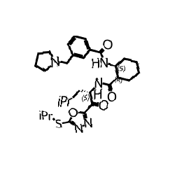 CC(C)C[C@H](NC(=O)[C@@H]1CCCC[C@@H]1NC(=O)c1cccc(CN2CCCC2)c1)C(=O)c1nnc(SC(C)C)o1